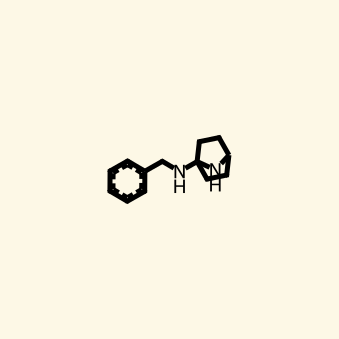 c1ccc(CNC23CCC(CC2)N3)cc1